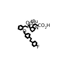 CC(C)(C)OC(=O)N(CCc1ccccc1OCc1ccc(CCc2ccc(F)cc2)cc1)C1CCCc2nc(C(=O)O)ccc21